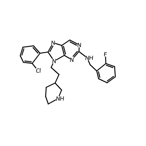 Fc1ccccc1CNc1ncc2nc(-c3ccccc3Cl)n(CCC3CCCNC3)c2n1